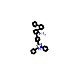 Nc1c(-c2ccc(-c3nc(-c4ccccc4)nc(-c4ccccc4)n3)cc2)cccc1-c1ccccc1-c1ccccc1